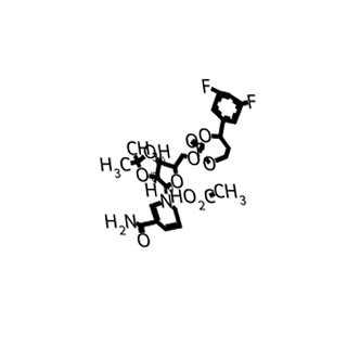 CC(=O)O.CC1(C)O[C@@H]2[C@H](O1)C(COP1(=O)OCCC(c3cc(F)cc(F)c3)O1)O[C@H]2N1C=C(C(N)=O)C=CC1